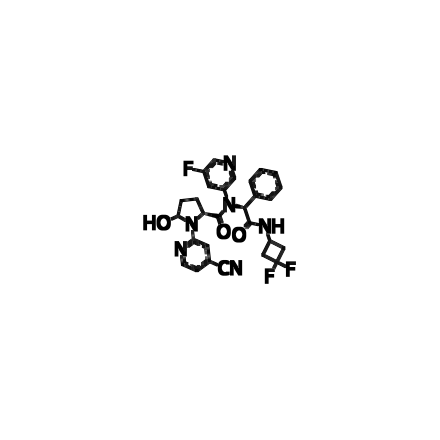 N#Cc1ccnc(N2C(O)CC[C@H]2C(=O)N(c2cncc(F)c2)[C@H](C(=O)NC2CC(F)(F)C2)c2ccccc2)c1